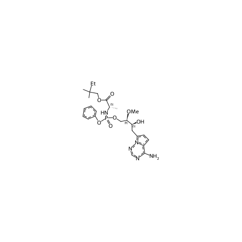 CCC(C)(C)COC(=O)[C@H](C)NP(=O)(OC[C@@H](OC)[C@@H](O)Cc1ccc2c(N)ncnn12)Oc1ccccc1